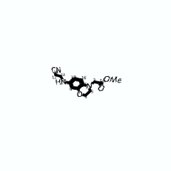 COC(=O)CN1CCOc2cc(NCCC#N)ccc21